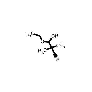 CCOC(O)C(C)(C)C#N